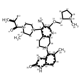 C=C(F)C(=O)N1CCN(c2c(C#N)c(OC[C@@H]3CCCN3C)nc3c2CCN(c2c(C)ccc4[nH]c(=O)oc24)C3)C[C@@H]1C